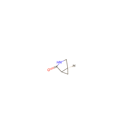 O=C1NC[C@H]2CC12